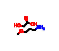 COCCCN.O=C(O)CO